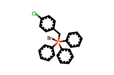 Clc1ccc(CP(Br)(c2ccccc2)(c2ccccc2)c2ccccc2)cc1